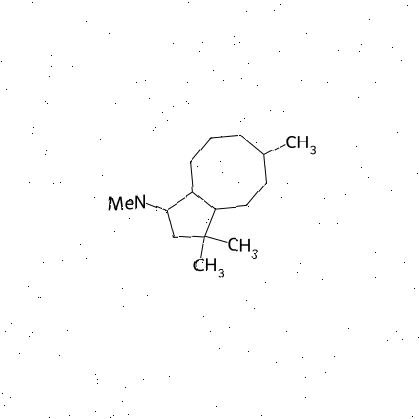 CNC1CC(C)(C)C2CCC(C)CCCC12